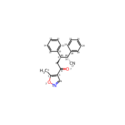 Cc1oncc1C(=O)C[C@@H](c1ccccc1)[C@@H](C#N)c1ccccc1